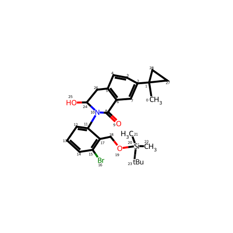 CC1(c2ccc3c(c2)C(=O)N(c2cccc(Br)c2CO[Si](C)(C)C(C)(C)C)C(O)C3)CC1